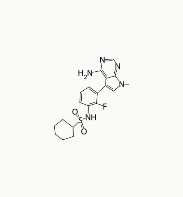 Cn1cc(-c2cccc(NS(=O)(=O)C3CCCCC3)c2F)c2c(N)ncnc21